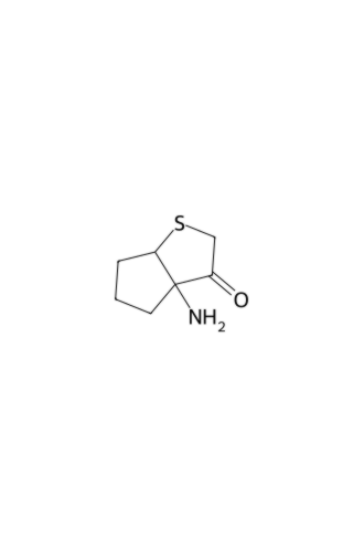 NC12CCCC1SCC2=O